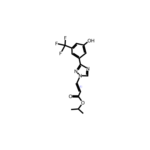 CC(C)OC(=O)/C=C/n1cnc(-c2cc(O)cc(C(F)(F)F)c2)n1